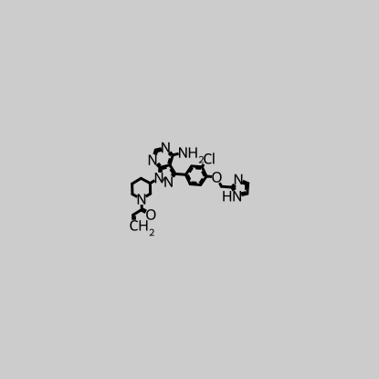 C=CC(=O)N1CCCC(n2nc(-c3ccc(OCc4ncc[nH]4)c(Cl)c3)c3c(N)ncnc32)C1